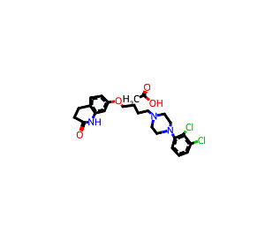 CC(=O)O.O=C1CCc2ccc(OCCCCN3CCN(c4cccc(Cl)c4Cl)CC3)cc2N1